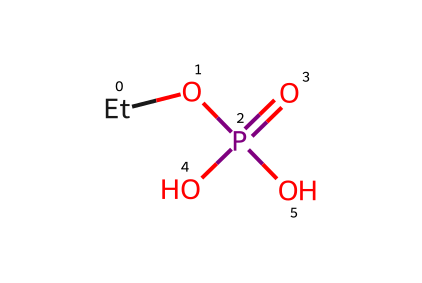 [CH2]COP(=O)(O)O